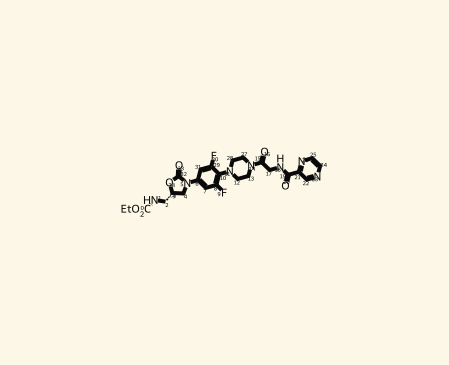 CCOC(=O)NC[C@H]1CN(c2cc(F)c(N3CCN(C(=O)CNC(=O)c4cnccn4)CC3)c(F)c2)C(=O)O1